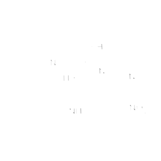 CC(C)(CN1CCCCC1)n1cnc([N+](=O)[O-])c1.N